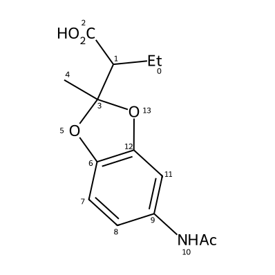 CCC(C(=O)O)C1(C)Oc2ccc(NC(C)=O)cc2O1